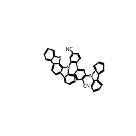 N#Cc1ccc(-c2ccc(C#N)c(-n3c4ccccc4c4ccccc43)c2)c(-n2c3ccccc3c3ccc4c5ccccc5sc4c32)c1